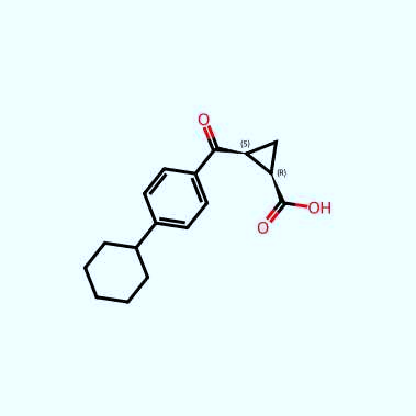 O=C(c1ccc(C2CCCCC2)cc1)[C@H]1C[C@H]1C(=O)O